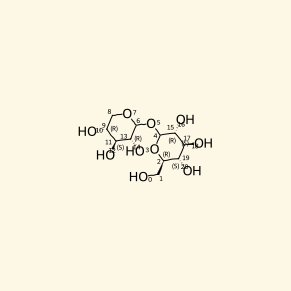 OC[C@H]1OC(OC2OC[C@@H](O)[C@H](O)[C@H]2O)[C@H](O)[C@@H](O)[C@@H]1O